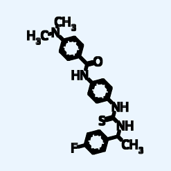 CC(NC(=S)Nc1ccc(NC(=O)c2ccc(N(C)C)cc2)cc1)c1ccc(F)cc1